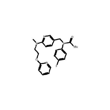 CN(CCOc1ccccn1)c1ccc(CN(C(=O)C(C)(C)C)c2ccc(F)cc2)cn1